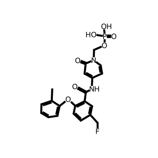 Cc1ccccc1Oc1ccc(CF)cc1C(=O)Nc1ccn(COP(=O)(O)O)c(=O)c1